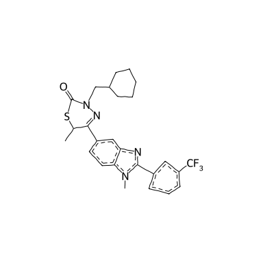 CC1SC(=O)N(CC2CCCCC2)N=C1c1ccc2c(c1)nc(-c1cccc(C(F)(F)F)c1)n2C